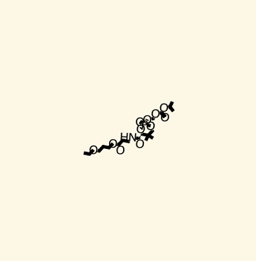 CCOCCCOC(=O)CCNC(=O)[C@@H]1OP(=O)(OCOC(=O)OC(C)C)OCC1(C)C